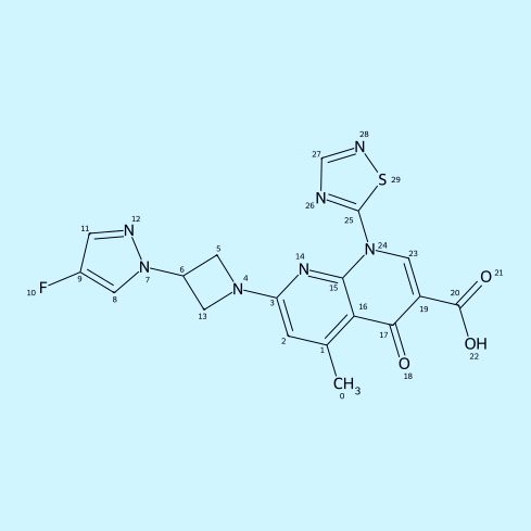 Cc1cc(N2CC(n3cc(F)cn3)C2)nc2c1c(=O)c(C(=O)O)cn2-c1ncns1